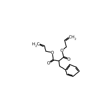 C=CCOC(=O)C(Cc1ccccc1)C(=O)OCC=C